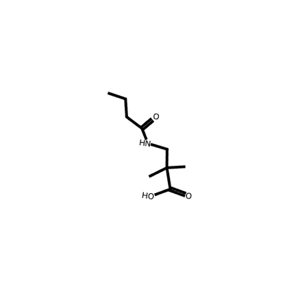 CCCC(=O)NCC(C)(C)C(=O)O